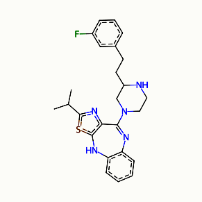 CC(C)c1nc2c(s1)Nc1ccccc1N=C2N1CCNC(CCc2cccc(F)c2)C1